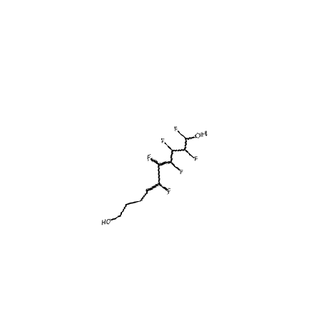 OCCCCC(F)C(F)C(F)C(F)C(F)C(O)F